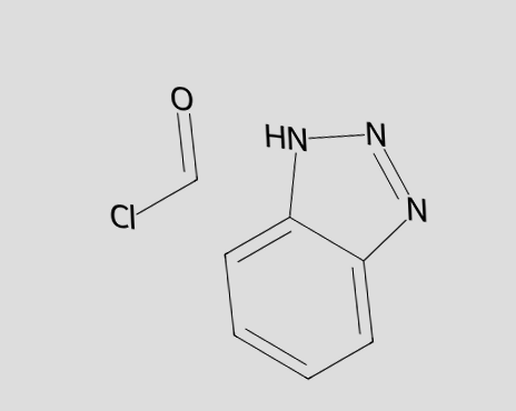 O=CCl.c1ccc2[nH]nnc2c1